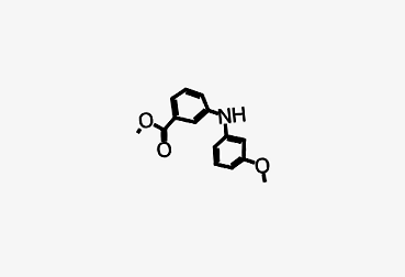 COC(=O)c1cccc(Nc2cccc(OC)c2)c1